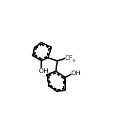 Oc1ccccc1C(c1ccccc1O)C(F)(F)F